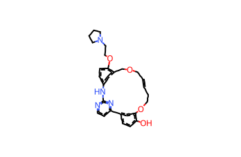 Oc1ccc2cc1OCC/C=C/COCc1cc(ccc1OCCN1CCCC1)Nc1nccc-2n1